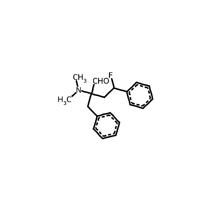 CN(C)C(C=O)(Cc1ccccc1)CC(F)c1ccccc1